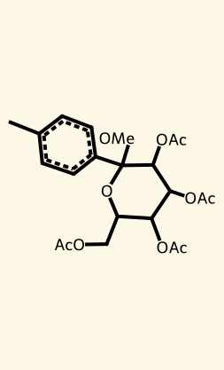 COC1(c2ccc(C)cc2)OC(COC(C)=O)C(OC(C)=O)C(OC(C)=O)C1OC(C)=O